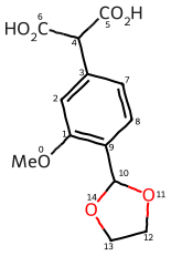 COc1cc(C(C(=O)O)C(=O)O)ccc1C1OCCO1